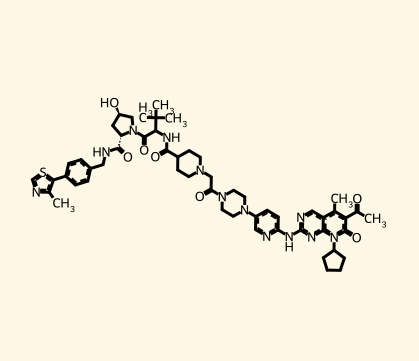 CC(=O)c1c(C)c2cnc(Nc3ccc(N4CCN(C(=O)CN5CCC(C(=O)NC(C(=O)N6C[C@H](O)C[C@H]6C(=O)NCc6ccc(-c7scnc7C)cc6)C(C)(C)C)CC5)CC4)cn3)nc2n(C2CCCC2)c1=O